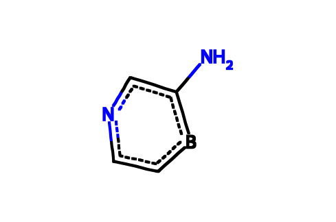 Nc1bccnc1